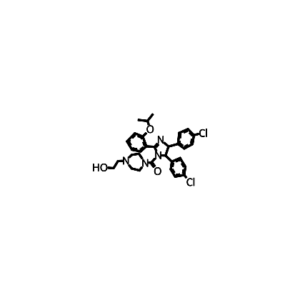 CC(C)Oc1ccccc1C1=NC(c2ccc(Cl)cc2)C(c2ccc(Cl)cc2)N1C(=O)N1CCN(CCO)CC1